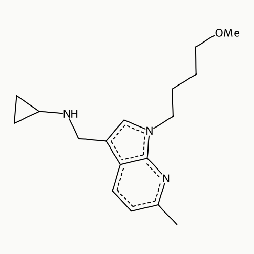 COCCCCn1cc(CNC2CC2)c2ccc(C)nc21